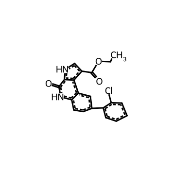 CCOC(=O)c1c[nH]c2c(=O)[nH]c3ccc(-c4ccccc4Cl)cc3c12